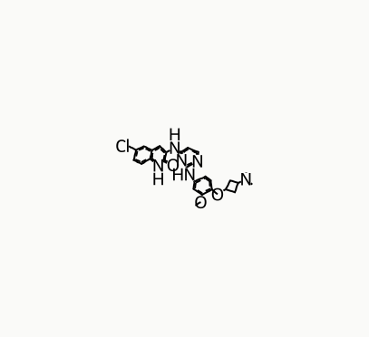 COc1cc(Nc2nccc(Nc3cc4cc(Cl)ccc4[nH]c3=O)n2)ccc1OC1CC(N(C)C)C1